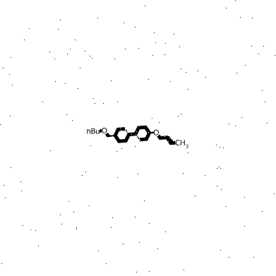 CC=CCO[C@H]1CC[C@H]([C@H]2CC[C@H](COCCCC)CC2)CC1